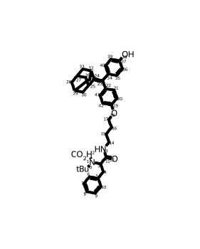 CC(C)(C)N(C(=O)O)C(Cc1ccccc1)C(=O)NCCCCOc1ccc(C(=C2C3CC4CC(C3)CC2C4)c2ccc(O)cc2)cc1